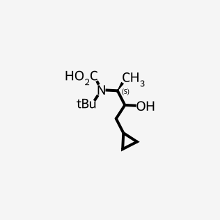 C[C@@H](C(O)CC1CC1)N(C(=O)O)C(C)(C)C